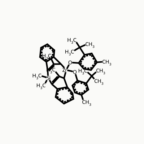 CC1=C2c3ccccc3[CH]1[Zr]([O]c1ccc(C)cc1C(C)(C)C)([O]c1ccc(C)cc1C(C)(C)C)[CH]1C(C)=C(c3ccccc31)[Si]2(C)C